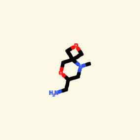 CN1CC(CN)OCC12COC2